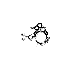 C[C@@H]1CS(=O)(=O)NC(=O)c2ccc3c(c2)N(C[C@@H]2CC[C@H]2[C@@H]([C@H]2OC[C@H](N(C)C)CO2)CC[C@@H]1C)C[C@@]1(CCCc2cc(Cl)ccc21)CO3